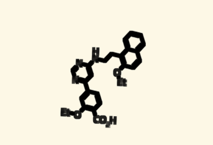 CCOc1cc(-c2cc(NCCc3c(OCC)ccc4ccccc34)ncn2)ccc1C(=O)O